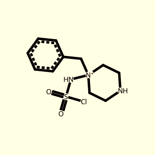 O=S(=O)(Cl)N[N+]1(Cc2ccccc2)CCNCC1